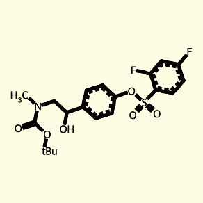 CN(CC(O)c1ccc(OS(=O)(=O)c2ccc(F)cc2F)cc1)C(=O)OC(C)(C)C